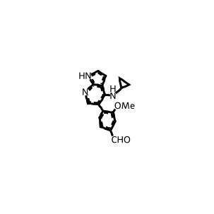 COc1cc(C=O)ccc1-c1cnc2[nH]ccc2c1NC1CC1